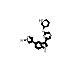 CC(C)n1cc(-c2ccc3[nH]cc(-c4cncc(OC5CCCNC5)n4)c3c2)cn1